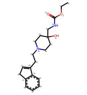 CCOC(=O)NCC1(O)CCN(CCC2=CCc3ccccc32)CC1